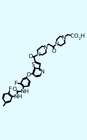 Cc1ccc(F)c(NC(=O)Nc2ccc(Oc3ccnc4cc(C(=O)N5CCN(CC(=O)N6CCN(CC(=O)O)CC6)CC5)sc34)cc2F)c1